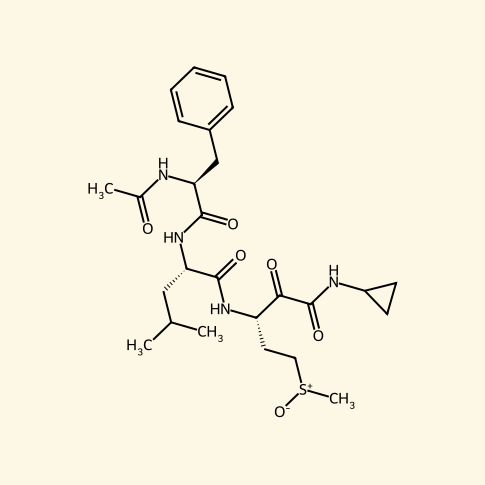 CC(=O)N[C@@H](Cc1ccccc1)C(=O)N[C@@H](CC(C)C)C(=O)N[C@@H](CC[S+](C)[O-])C(=O)C(=O)NC1CC1